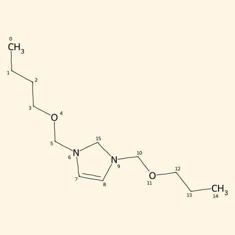 CCCCOCN1C=CN(COCCC)C1